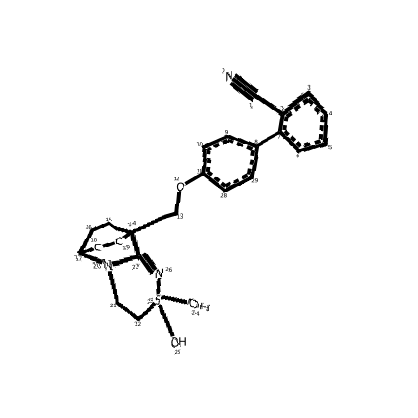 N#Cc1ccccc1-c1ccc(OCC23CCC(CC2)N2CCS(O)(O)N=C23)cc1